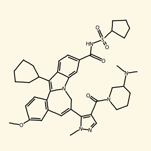 COc1ccc2c(c1)C=C(c1c(C(=O)N3CCCC(N(C)C)C3)cnn1C)Cn1c-2c(C2CCCCC2)c2ccc(C(=O)NS(=O)(=O)C3CCCC3)cc21